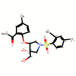 COC(=O)c1cc(C#N)ccc1OC1CN(S(=O)(=O)c2ccc(C(F)(F)F)cc2C#N)C[C@@]1(O)CO